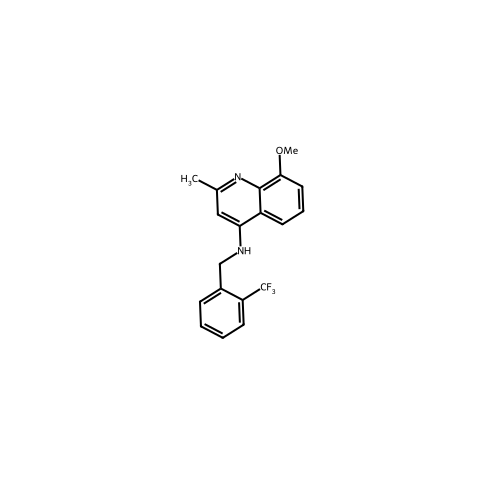 COc1cccc2c(NCc3ccccc3C(F)(F)F)cc(C)nc12